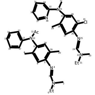 CCN(C)C=Nc1cc(C)c(N(C(C)=O)c2ccccc2)cc1C.CCN(C)C=Nc1cc(C)c(N(C)c2ccccn2)cc1Cl